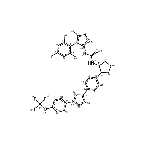 Cc1cc(C)c(-n2c(C)cs/c2=N\C(=O)NC2CCCC2c2ccc(-c3ncn(-c4ccc(OC(F)(F)F)cc4)n3)cc2)c(C)c1